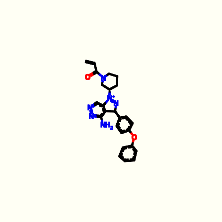 C=CC(=O)N1CCC[C@@H]([N+]2=NC(c3ccc(Oc4ccccc4)cc3)c3c2cnnc3N)C1